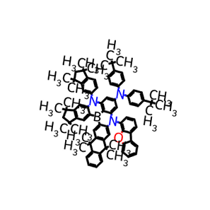 CC(C)(C)c1ccc(N(c2ccc(C(C)(C)C)cc2)c2cc3c4c(c2)N(c2cccc5c2oc2ccccc25)c2cc5c(cc2B4c2cc4c(cc2N3c2ccc3c(c2)C(C)(C)CC3(C)C)C(C)(C)CC4(C)C)C(C)(C)c2ccccc2C5(C)C)cc1